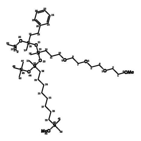 COCCOCCOCCOCCC[Si](C)(O[Si](C)(CCc1ccccc1)O[SiH2]C)O[Si](C)(CCCCCCCC[Si](C)(C)OC)O[Si](C)(C)C